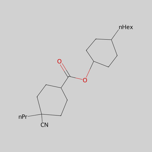 CCCCCCC1CCC(OC(=O)C2CCC(C#N)(CCC)CC2)CC1